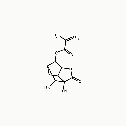 C=C(C)C(=O)OC1C2CC3C1OC(=O)C3(C#N)C2C